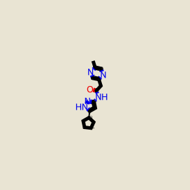 Cc1cnc(CC(=O)Nc2cc([C@H]3C[CH]CC3)[nH]n2)cn1